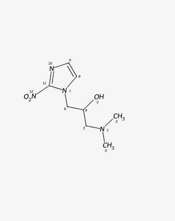 CN(C)CC(O)Cn1ccnc1[N+](=O)[O-]